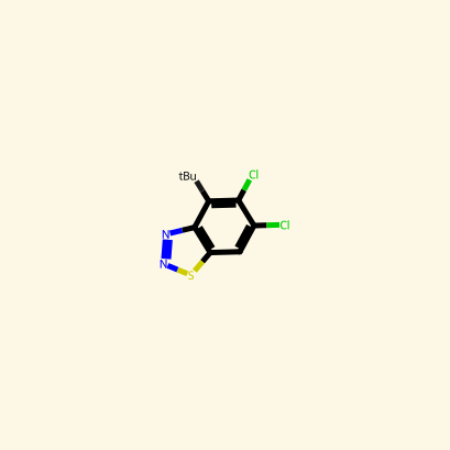 CC(C)(C)c1c(Cl)c(Cl)cc2snnc12